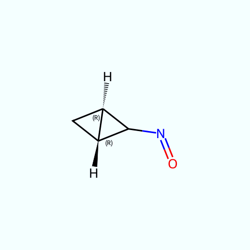 O=NC1[C@@H]2C[C@@H]12